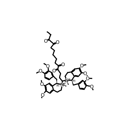 CCC(=O)C(=O)CCCCCC(=O)C(=O)CCC([N@+]1(C)CCc2cc(OC)c(OC)cc2[C@H]1Cc1ccc(OC)c(OC)c1)[N@+]1(C)CCc2cc(OC)c(OC)cc2[C@H]1Cc1ccc(OC)c(OC)c1